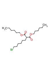 CCCCCCOC(=O)C(CCCCCCBr)C(=O)OCCCCCC